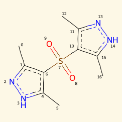 Cc1n[nH]c(C)c1S(=O)(=O)c1c(C)n[nH]c1C